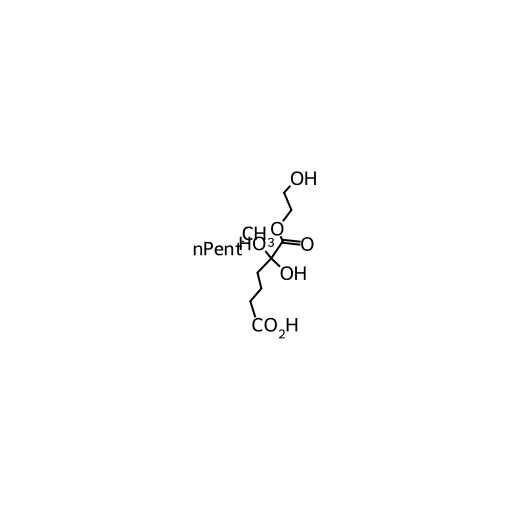 CCCCCC.O=C(O)CCCC(O)(O)C(=O)OCCO